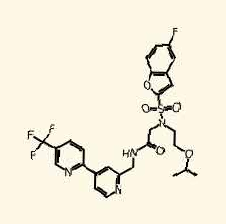 CC(C)OCCN(CC(=O)NCc1cc(-c2ccc(C(F)(F)F)cn2)ccn1)S(=O)(=O)c1cc2cc(F)ccc2o1